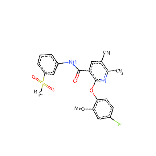 COc1cc(F)ccc1Oc1nc(C)c(C#N)cc1C(=O)Nc1cccc(S(C)(=O)=O)c1